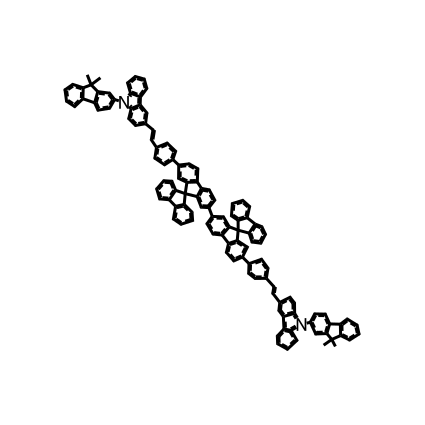 CC1(C)c2ccccc2-c2ccc(-n3c4ccccc4c4cc(/C=C/c5ccc(-c6ccc7c(c6)C6(c8ccccc8-c8ccccc86)c6cc(-c8ccc9c(c8)C8(c%10ccccc%10-c%10ccccc%108)c8cc(-c%10ccc(/C=C/c%11ccc%12c(c%11)c%11ccccc%11n%12-c%11ccc%12c(c%11)C(C)(C)c%11ccccc%11-%12)cc%10)ccc8-9)ccc6-7)cc5)ccc43)cc21